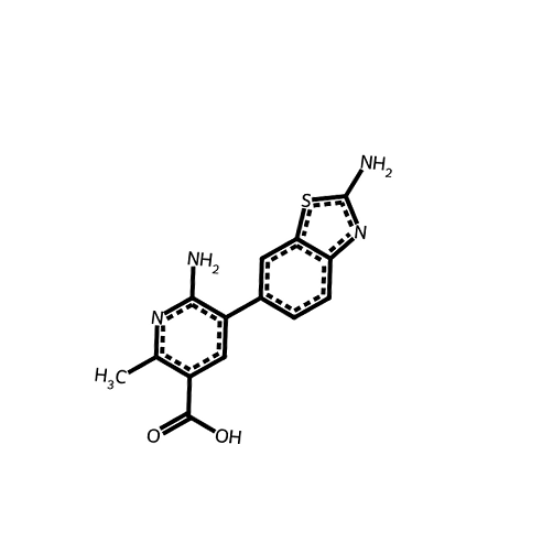 Cc1nc(N)c(-c2ccc3nc(N)sc3c2)cc1C(=O)O